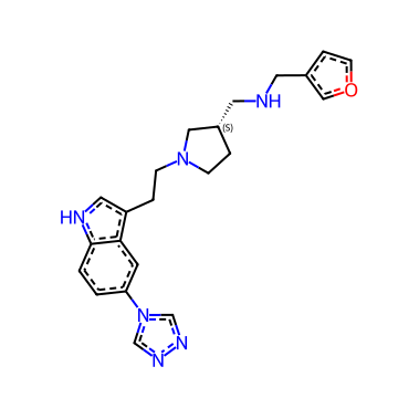 c1cc(CNC[C@@H]2CCN(CCc3c[nH]c4ccc(-n5cnnc5)cc34)C2)co1